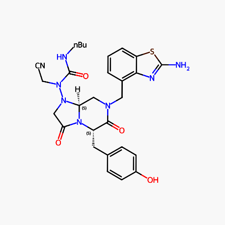 CCCCNC(=O)N(CC#N)N1CC(=O)N2[C@@H](Cc3ccc(O)cc3)C(=O)N(Cc3cccc4sc(N)nc34)C[C@@H]21